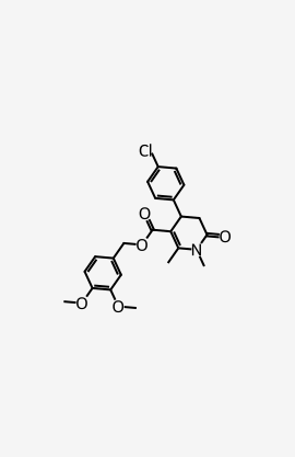 COc1ccc(COC(=O)C2=C(C)N(C)C(=O)CC2c2ccc(Cl)cc2)cc1OC